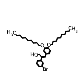 CCCCCCCCCCOc1ccc(C=C(CO)c2cccc(Br)c2)cc1OCCCCCCCCCC